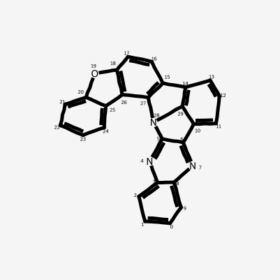 c1ccc2nc3c(nc2c1)c1cccc2c4ccc5oc6ccccc6c5c4n3c21